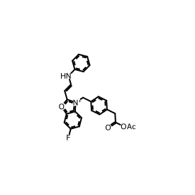 CC(=O)OC(=O)Cc1ccc(C[n+]2c(C=CNc3ccccc3)oc3cc(F)ccc32)cc1